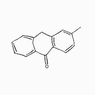 Cc1ccc2c(c1)Cc1ccccc1C2=O